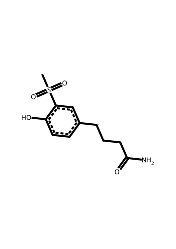 CS(=O)(=O)c1cc([CH]CCC(N)=O)ccc1O